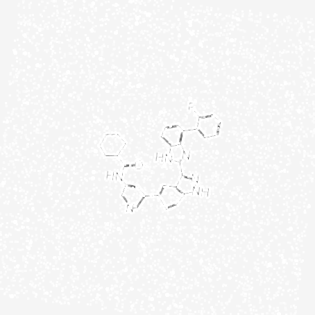 O=C(Nc1cncc(-c2ccc3[nH]nc(-c4nc5c(-c6ccccc6F)cccc5[nH]4)c3c2)c1)C1CCCCC1